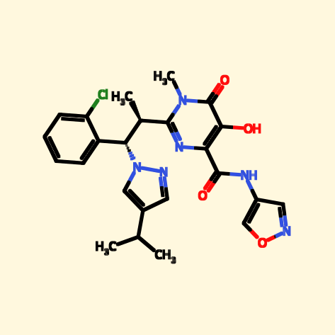 CC(C)c1cnn([C@H](c2ccccc2Cl)[C@@H](C)c2nc(C(=O)Nc3cnoc3)c(O)c(=O)n2C)c1